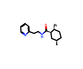 CC(C)[C@@H]1CC[C@@H](C)C[C@H]1C(=O)NCCc1ccccn1